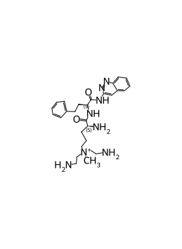 C[N+](CCN)(CCN)CCC[C@H](N)C(=O)N[C@@H](CCc1ccccc1)C(=O)Nc1cc2ccccc2nn1